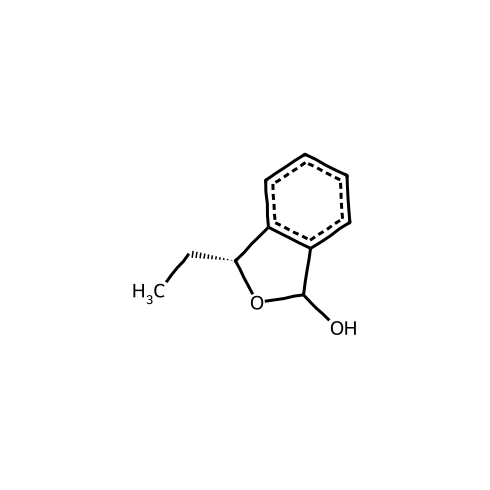 CC[C@H]1OC(O)c2ccccc21